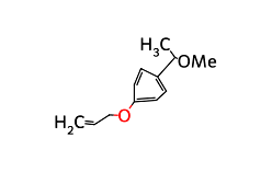 C=CCOc1ccc(C(C)OC)cc1